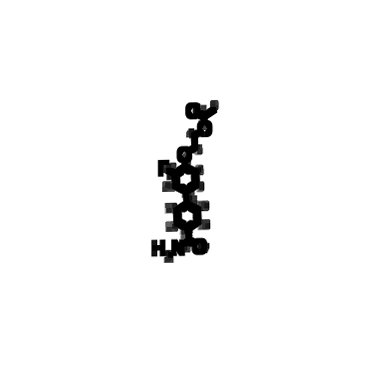 CC(=O)OCCOc1ccc(-c2ccc(C(N)=O)cc2)cc1F